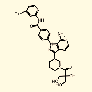 Cc1ccnc(NC(=O)c2ccc(-n3nc([C@@H]4CCCN(C(=O)C(C)(CO)CO)C4)c4ccnc(N)c43)cc2)c1